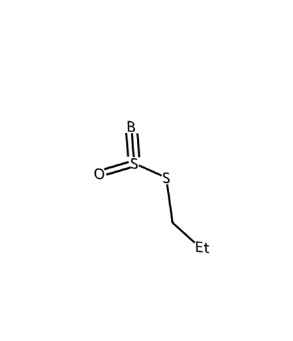 B#S(=O)SCCC